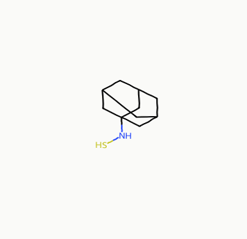 SNC12CC3CC(CC(C3)C1)C2